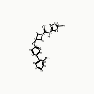 Cc1nnc(NC(=O)N2CC(Oc3ccc(-c4ccccc4F)cn3)C2)o1